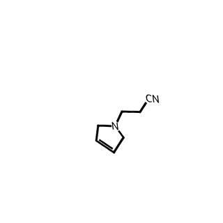 N#CCCN1CC=CC1